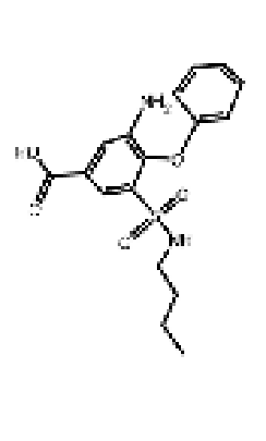 CCCCNS(=O)(=O)c1cc(C(=O)O)cc(N)c1Oc1ccccc1